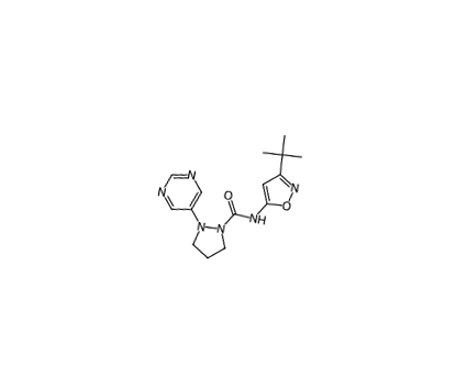 CC(C)(C)c1cc(NC(=O)N2CCCN2c2cncnc2)on1